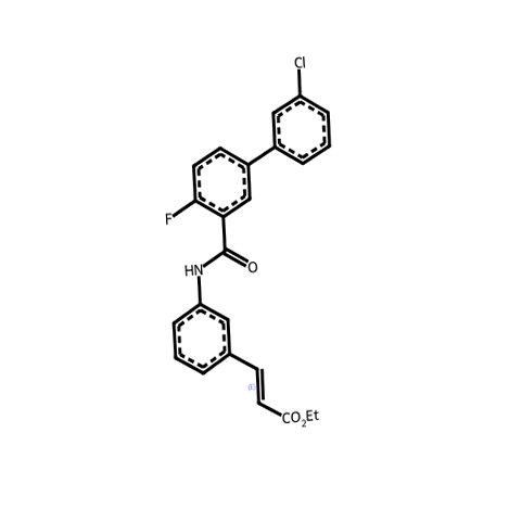 CCOC(=O)/C=C/c1cccc(NC(=O)c2cc(-c3cccc(Cl)c3)ccc2F)c1